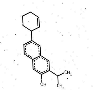 CC(C)c1cc2cc(C3C=CCCC3)ccc2cc1O